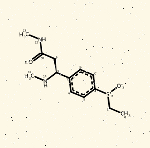 CC[S+]([O-])c1ccc([C@H](CC(=O)NC)NC)cc1